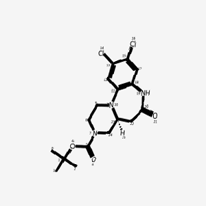 CC(C)(C)OC(=O)N1CCN2c3cc(Cl)c(Cl)cc3NC(=O)C[C@H]2C1